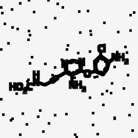 Nc1ccc(Oc2ncnc(C#CCNC(=O)O)c2N)cc1Cl